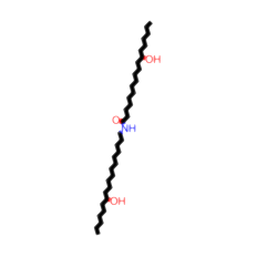 CCCCCCC(O)CCCCCCCCCCCNC(=O)CCCCCCCCCCC(O)CCCCCC